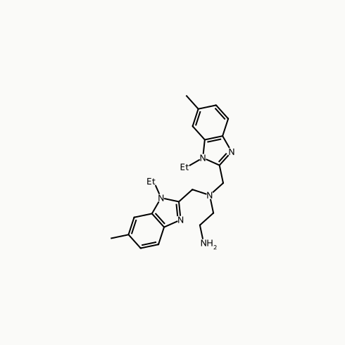 CCn1c(CN(CCN)Cc2nc3ccc(C)cc3n2CC)nc2ccc(C)cc21